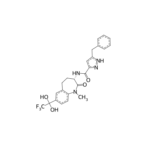 CN1C(=O)[C@@H](NC(=O)c2cc(Cc3ccccc3)[nH]n2)CCc2cc(C(O)(O)C(F)(F)F)ccc21